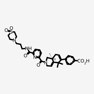 CC1(C)C(c2ccc(C(=O)O)cc2)=CC[C@]2(C)CN(C(=O)c3cccc(C(=O)NCCCN4CCS(=O)(=O)CC4)n3)CC=C12